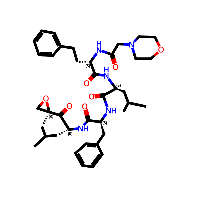 CC(C)C[C@H](NC(=O)[C@H](CCc1ccccc1)NC(=O)CN1CCOCC1)C(=O)N[C@@H](Cc1ccccc1)C(=O)N[C@H](CC(C)C)C(=O)[C@@]1(C)CO1